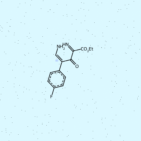 CCOC(=O)C(=N)C(=O)/C(=C\N)c1ccc(F)cc1